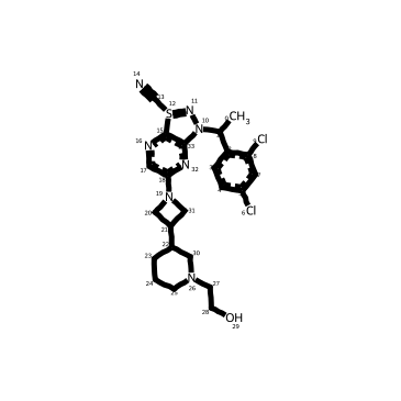 CC(c1ccc(Cl)cc1Cl)N1N=S(C#N)c2ncc(N3CC(C4CCCN(CCO)C4)C3)nc21